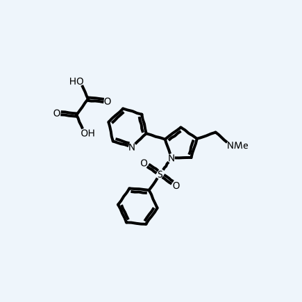 CNCc1cc(-c2ccccn2)n(S(=O)(=O)c2ccccc2)c1.O=C(O)C(=O)O